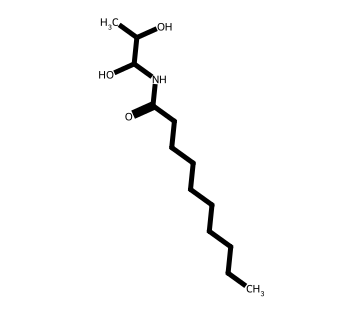 CCCCCCCCCC(=O)NC(O)C(C)O